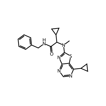 CN(c1nc2ncnc(C3CC3)c2s1)C(C(=O)NCc1ccccc1)C1CC1